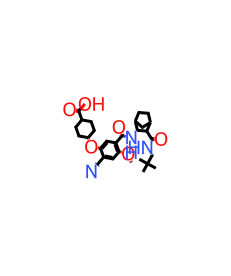 COc1cc(C#N)c(OC2CCC(C(=O)O)CC2)cc1C(=O)NC1C2CCC(C2)C1C(=O)NCC(C)(C)C